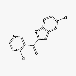 O=C(c1cc2cc(Cl)ccc2o1)c1cnccc1Cl